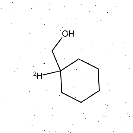 [2H]C1(CO)CCCCC1